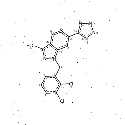 Cc1nn(Cc2cccc(Cl)c2Cl)c2cc(-c3nnn[nH]3)cnc12